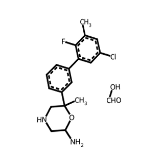 Cc1cc(Cl)cc(-c2cccc(C3(C)CNCC(N)O3)c2)c1F.O=CO